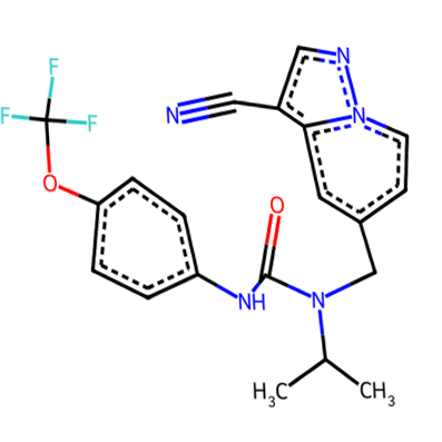 CC(C)N(Cc1ccn2ncc(C#N)c2c1)C(=O)Nc1ccc(OC(F)(F)F)cc1